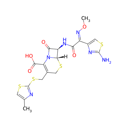 CON=C(C(=O)N[C@@H]1C(=O)N2C(C(=O)O)=C(CSc3nc(C)cs3)CS[C@@H]12)c1csc(N)n1